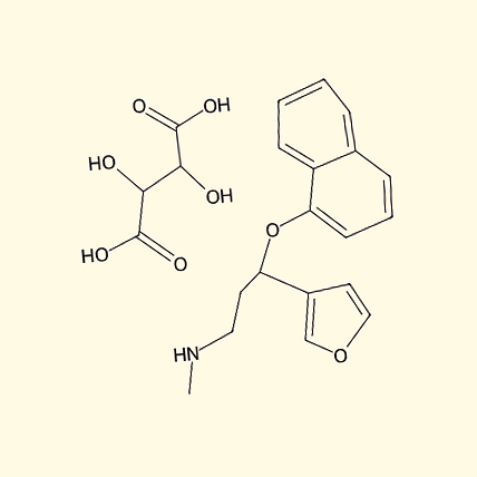 CNCCC(Oc1cccc2ccccc12)c1ccoc1.O=C(O)C(O)C(O)C(=O)O